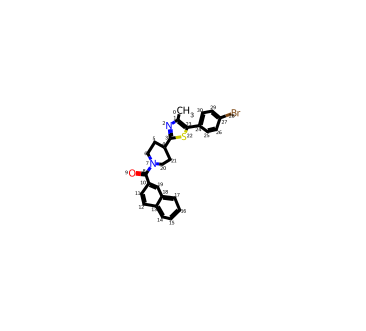 Cc1nc(C2CCN(C(=O)c3ccc4ccccc4c3)CC2)sc1-c1ccc(Br)cc1